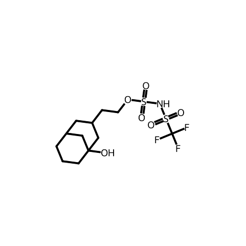 O=S(=O)(NS(=O)(=O)C(F)(F)F)OCCC1CC2CCCC(O)(C2)C1